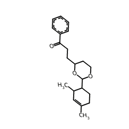 CC1=CC(C)C(C2OCCC(CCC(=O)c3ccccc3)O2)CC1